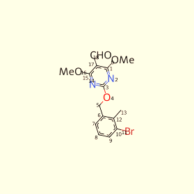 COc1nc(OCc2cccc(Br)c2C)nc(OC)c1C=O